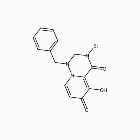 CCN1CN(Cc2ccccc2)n2ccc(=O)c(O)c2C1=O